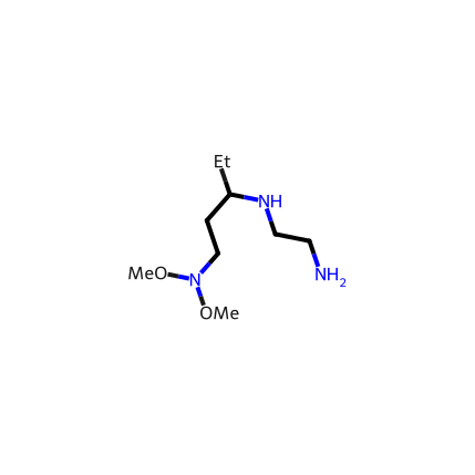 [CH2]CC(CCN(OC)OC)NCCN